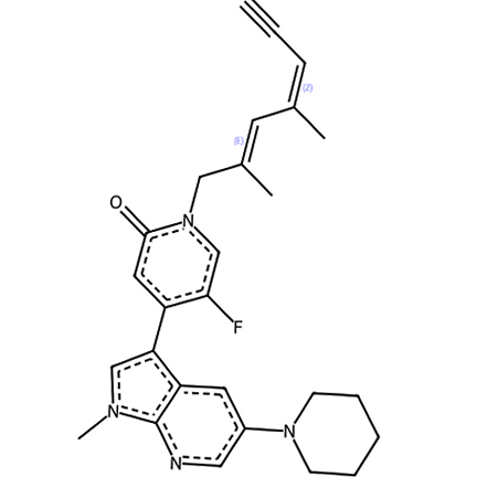 C#C/C=C(C)\C=C(/C)Cn1cc(F)c(-c2cn(C)c3ncc(N4CCCCC4)cc23)cc1=O